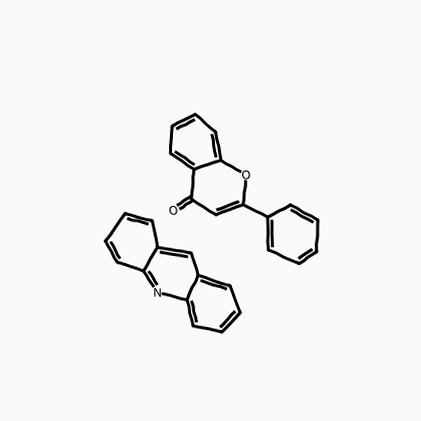 O=c1cc(-c2ccccc2)oc2ccccc12.c1ccc2nc3ccccc3cc2c1